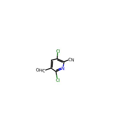 N#Cc1nc(Cl)c(C=O)cc1Cl